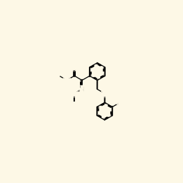 CON=C(C(=S)OC)c1ccccc1COc1ccccc1Cl